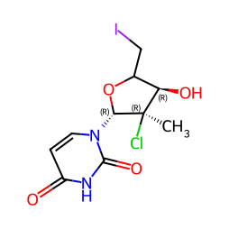 C[C@@]1(Cl)[C@H](O)C(CI)O[C@H]1n1ccc(=O)[nH]c1=O